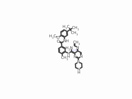 C=C/N=C1/C=NC(N2CCNCC2)=N/C1=C(/N)Nc1cc(C(=O)Nc2cc(C(C)(C)C)ccc2OC)ccc1C